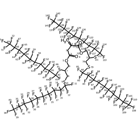 C=C(CC(=O)OCC(CSC(F)(F)C(F)(F)C(F)(F)C(F)(F)C(F)(F)C(F)(F)C(F)(F)C(F)(F)C(F)(F)C(F)(F)F)SC(F)(F)C(F)(F)C(F)(F)C(F)(F)C(F)(F)C(F)(F)C(F)(F)C(F)(F)C(F)(F)C(F)(F)F)C(=O)OCC(CSC(F)(F)C(F)(F)C(F)(F)C(F)(F)C(F)(F)C(F)(F)C(F)(F)C(F)(F)C(F)(F)C(F)(F)F)SC(F)(F)C(F)(F)C(F)(F)C(F)(F)C(F)(F)C(F)(F)C(F)(F)C(F)(F)C(F)(F)C(F)(F)F